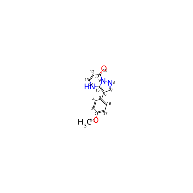 COc1ccc(-c2cnn3c(=O)cc[nH]c23)cc1